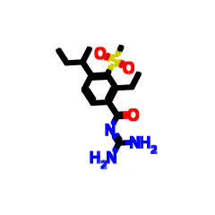 CCc1c(C(=O)N=C(N)N)ccc(C(C)CC)c1S(C)(=O)=O